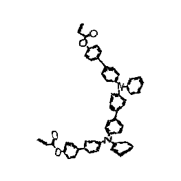 C=CC(=O)Oc1ccc(-c2ccc(N(c3ccccc3)c3ccc(-c4ccc(N(c5ccccc5)c5ccc(-c6ccc(OC(=O)C=C)cc6)cc5)cc4)cc3)cc2)cc1